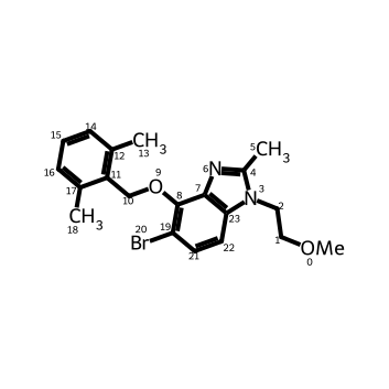 COCCn1c(C)nc2c(OCc3c(C)cccc3C)c(Br)ccc21